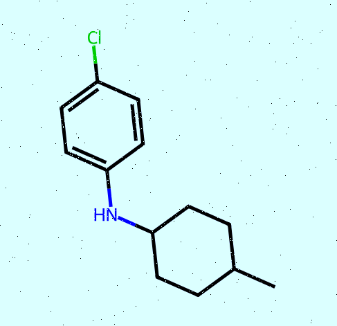 CC1CCC(Nc2ccc(Cl)cc2)CC1